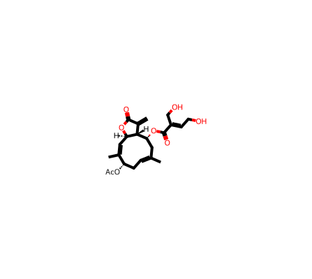 C=C1C(=O)O[C@@H]2/C=C(/C)[C@@H](OC(C)=O)C/C=C(\C)C[C@@H](OC(=O)/C(=C/CO)CO)[C@@H]12